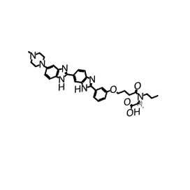 CCCN(C(=O)CCCOc1cccc(-c2nc3ccc(-c4nc5cc(N6CCN(C)CC6)ccc5[nH]4)cc3[nH]2)c1)[C@H](C)C(=O)O